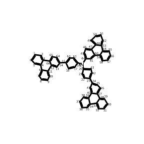 c1ccc2c(c1)c1ccccc1c1cc(-c3ccc(N(c4ccc(-c5ccc6c7ccccc7c7ccccc7c6c5)cc4)c4ccc5c6ccccc6c6ccccc6c5c4)cc3)ccc21